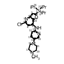 CC(C)[Si](c1cc2nc(Cl)cc(Nc3ccc(N4CCN(C)CC4)cn3)c2o1)(C(C)C)C(C)C